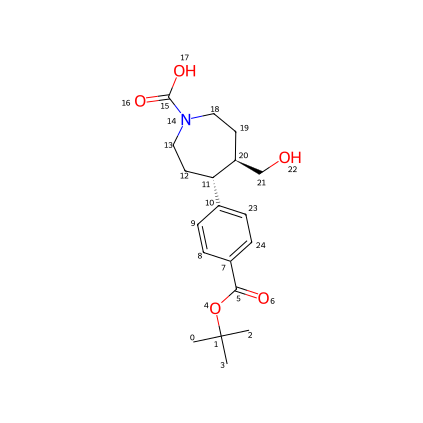 CC(C)(C)OC(=O)c1ccc([C@@H]2CCN(C(=O)O)CC[C@H]2CO)cc1